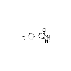 CC(C)(C)c1ccc(-c2cc(Cl)c3nonc3c2)cc1